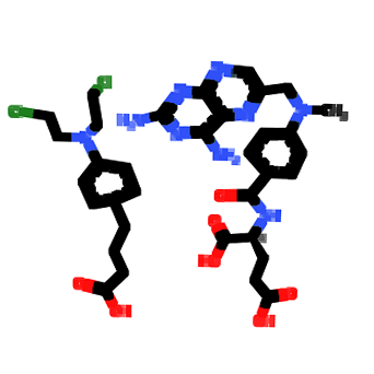 CN(Cc1cnc2nc(N)nc(N)c2n1)c1ccc(C(=O)N[C@@H](CCC(=O)O)C(=O)O)cc1.O=C(O)CCCc1ccc(N(CCCl)CCCl)cc1